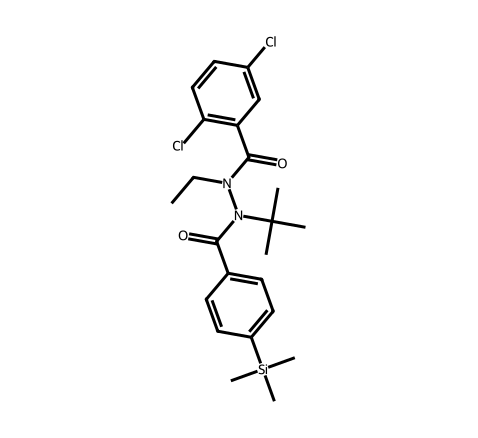 CCN(C(=O)c1cc(Cl)ccc1Cl)N(C(=O)c1ccc([Si](C)(C)C)cc1)C(C)(C)C